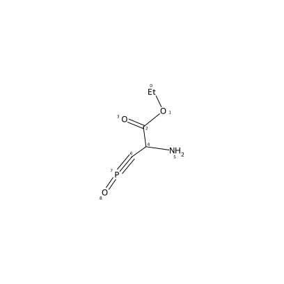 CCOC(=O)C(N)C#P=O